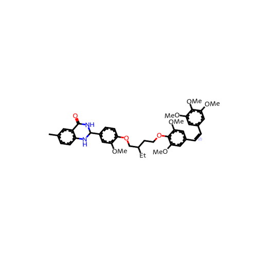 CCC(CCOc1c(OC)cc(/C=C\c2cc(OC)c(OC)c(OC)c2)cc1OC)COc1ccc(C2NC(=O)c3cc(C)ccc3N2)cc1OC